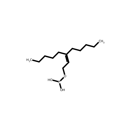 CCCCCC(=CCOP(O)O)CCCCC